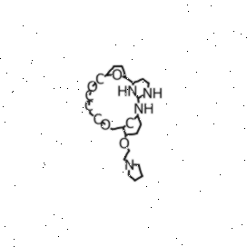 C1CCOCC2CC(CCC2OCCN2CCCC2)NC2NCCC(N2)C2CCC(COC1)O2